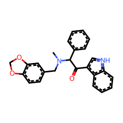 CN(Cc1ccc2c(c1)OCO2)C(C(=O)c1c[nH]c2ccccc12)c1ccccc1